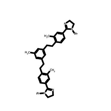 Cc1cc(CCc2ccc(C3=NCCN3C(C)C)cc2C)cc(CCc2ccc(C3=NCCN3C(C)C)cc2C)c1